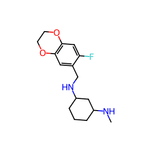 CNC1CCCC(NCc2cc3c(cc2F)OCCO3)C1